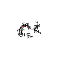 Cn1nc(N2CCC(=O)NC2=O)c2ccc(CCCN3CCN(c4nccc(-c5nc(C67CCC(CNC(=O)c8cc(F)c(O)c(F)c8F)(CC6)CC7)no5)n4)CC3)cc21.O=C(O)C(F)(F)F